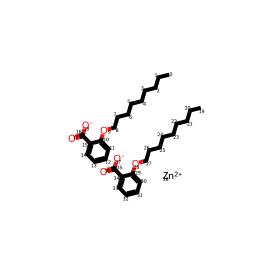 CCCCCCCCCOc1ccccc1C(=O)[O-].CCCCCCCCCOc1ccccc1C(=O)[O-].[Zn+2]